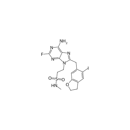 CNS(=O)(=O)CCn1c(Cc2cc3c(cc2I)CCO3)nc2c(N)nc(F)nc21